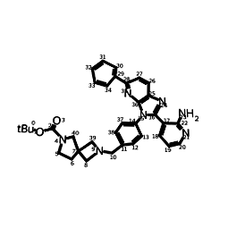 CC(C)(C)OC(=O)N1CCC2(CN(Cc3ccc(-n4c(-c5cccnc5N)nc5ccc(-c6ccccc6)nc54)cc3)C2)C1